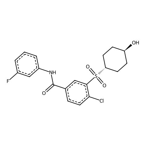 O=C(Nc1cccc(F)c1)c1ccc(Cl)c(S(=O)(=O)[C@H]2CC[C@H](O)CC2)c1